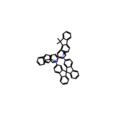 CC1(C)c2ccccc2-c2ccc(N(c3ccc(-c4ccccc4)cc3)c3ccc4c(c3)C3(c5ccccc5-c5ccc(N(c6ccccc6)c6ccccc6)cc53)c3ccccc3-4)cc21